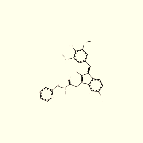 COc1cc(C=C2C(C)=C(CC(=O)NCc3ccccn3)c3cc(F)ccc32)cc(OC)c1O